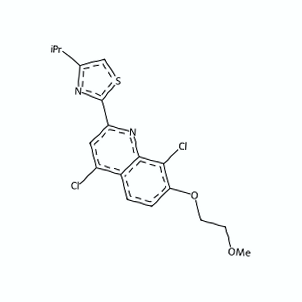 COCCOc1ccc2c(Cl)cc(-c3nc(C(C)C)cs3)nc2c1Cl